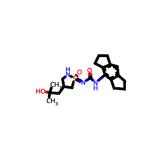 CC(C)(O)CC1CNS(=O)(=NC(=O)Nc2c3c(cc4c2CCC4)CCC3)C1